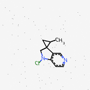 CC1CC12CN(Cl)c1ccncc12